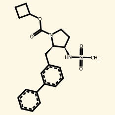 CS(=O)(=O)N[C@@H]1CCN(C(=O)OC2CCC2)[C@@H]1Cc1cccc(-c2ccccc2)c1